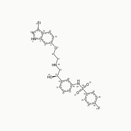 CCc1n[nH]c2cc(OCCNC[C@H](O)c3cccc(NS(=O)(=O)c4ccc(F)cc4)c3)ccc12